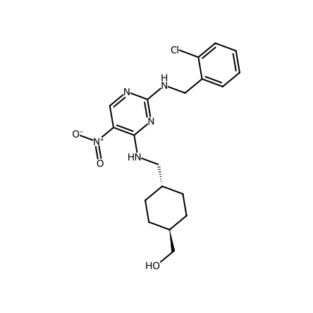 O=[N+]([O-])c1cnc(NCc2ccccc2Cl)nc1NC[C@H]1CC[C@H](CO)CC1